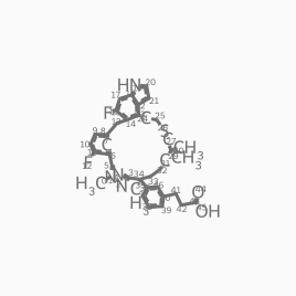 Cn1nc2nc1-c1cc(ccc1F)Cc1c(F)cc3[nH]ccc3c1CCSCC(C)(C)CCCC2(C)c1cccc(CCC(=O)O)c1